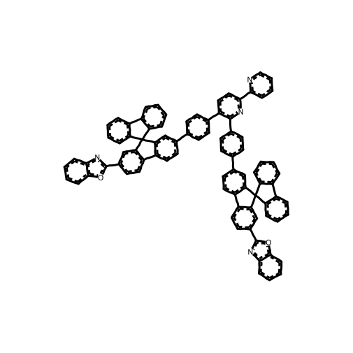 c1ccc(-c2ccc(-c3ccc(-c4ccc5c(c4)C4(c6ccccc6-c6ccccc64)c4cc(-c6nc7ccccc7o6)ccc4-5)cc3)c(-c3ccc(-c4ccc5c(c4)C4(c6ccccc6-c6ccccc64)c4cc(-c6nc7ccccc7o6)ccc4-5)cc3)n2)nc1